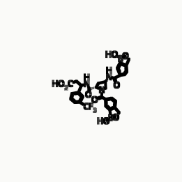 O=C(O)CC(NC(=O)[C@@H]1C[C@@H](NC(=O)c2ccc3c(c2)B(O)OC3)CN1C(=O)c1ccc2c(c1)B(O)OC2)c1cccc(C(F)(F)F)c1